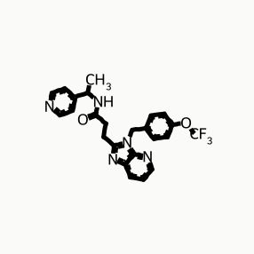 CC(NC(=O)CCc1nc2cccnc2n1Cc1ccc(OC(F)(F)F)cc1)c1ccncc1